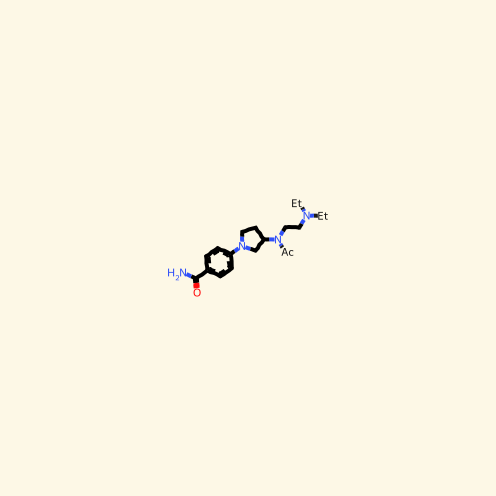 CCN(CC)CCN(C(C)=O)C1CCN(c2ccc(C(N)=O)cc2)C1